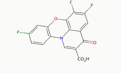 O=C(O)c1cn2c3c(c(F)c(F)cc3c1=O)Oc1cc(F)ccc1-2